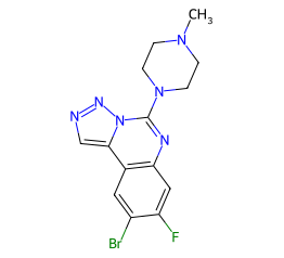 CN1CCN(c2nc3cc(F)c(Br)cc3c3cnnn23)CC1